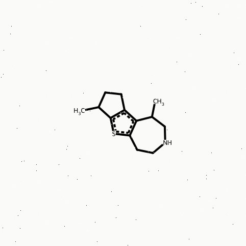 CC1CCc2c1sc1c2C(C)CNCC1